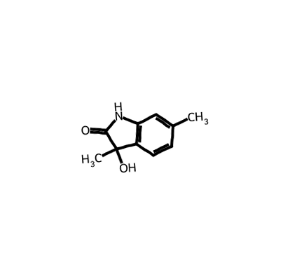 Cc1ccc2c(c1)NC(=O)C2(C)O